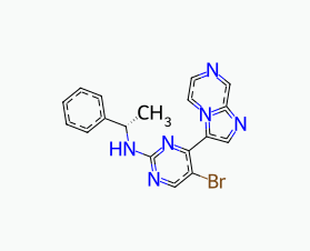 C[C@H](Nc1ncc(Br)c(-c2cnc3cnccn23)n1)c1ccccc1